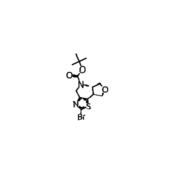 CN(Cc1nc(Br)sc1C1CCOC1)C(=O)OC(C)(C)C